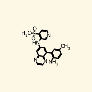 Cc1ccc(N)c(-c2cc(Nc3cnccc3S(C)(=O)=O)cc3nccnc23)c1